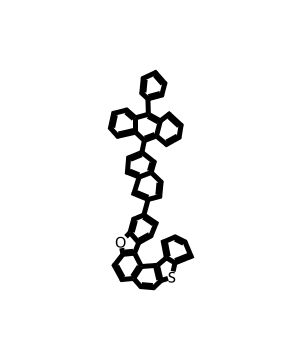 c1ccc(-c2c3ccccc3c(-c3ccc4cc(-c5ccc6c(c5)oc5ccc7ccc8sc9ccccc9c8c7c56)ccc4c3)c3ccccc23)cc1